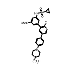 COc1cc(NS(=O)(=O)C2CC2)cc(-c2cc(-c3ccc(N4CCN(C(=O)O)CC4)cc3)cnc2Cl)c1